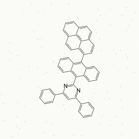 c1ccc(-c2cc(-c3ccccc3)nc(-c3c4ccccc4c(-c4ccc5ccc6cccc7ccc4c5c67)c4ccccc34)n2)cc1